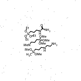 CCO[Si](CCCNC(N)=O)(OCC)OCC.CNCCC[Si](OC)(OC)OC.CO[Si](C)(CCCNCCN)OC